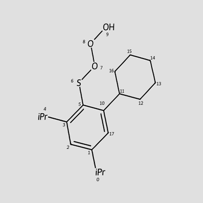 CC(C)c1cc(C(C)C)c(SOOO)c(C2CCCCC2)c1